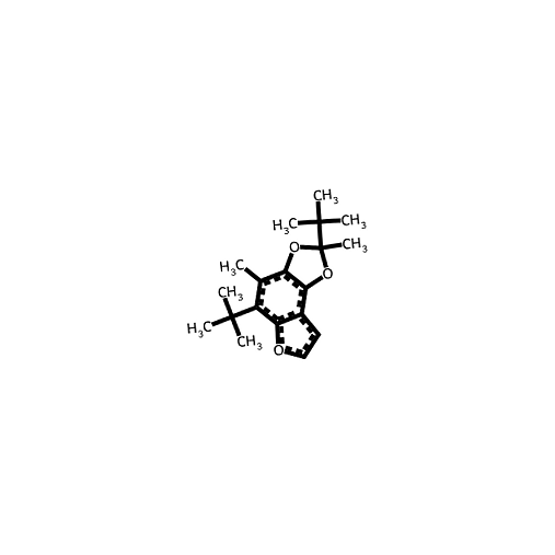 Cc1c2c(c3ccoc3c1C(C)(C)C)OC(C)(C(C)(C)C)O2